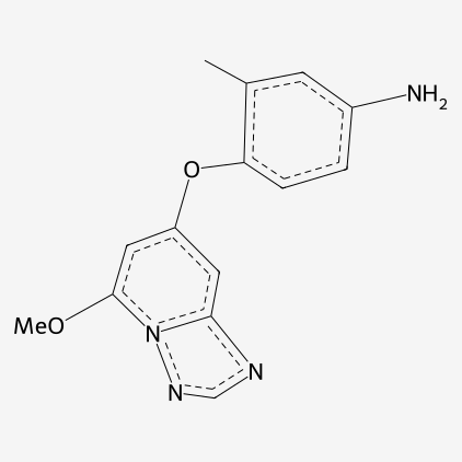 COc1cc(Oc2ccc(N)cc2C)cc2ncnn12